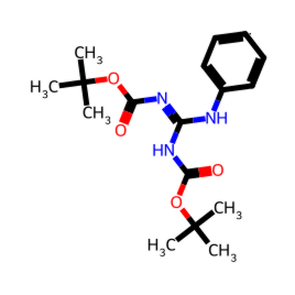 CC(C)(C)OC(=O)N=C(NC(=O)OC(C)(C)C)Nc1cc[c]cc1